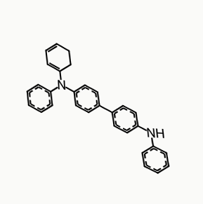 C1=CCCC(N(c2ccccc2)c2ccc(-c3ccc(Nc4ccccc4)cc3)cc2)=C1